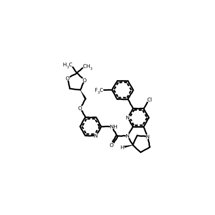 CC1(C)OC[C@H](COc2ccnc(NC(=O)N3c4nc(-c5cccc(C(F)(F)F)c5)c(Cl)cc4N4CC[C@H]3C4)c2)O1